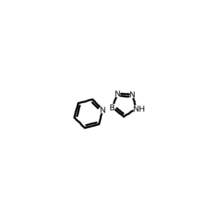 b1c[nH]nn1.c1ccncc1